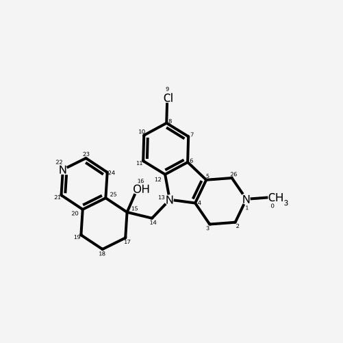 CN1CCc2c(c3cc(Cl)ccc3n2CC2(O)CCCc3cnccc32)C1